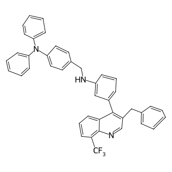 FC(F)(F)c1cccc2c(-c3cccc(NCc4ccc(N(c5ccccc5)c5ccccc5)cc4)c3)c(Cc3ccccc3)cnc12